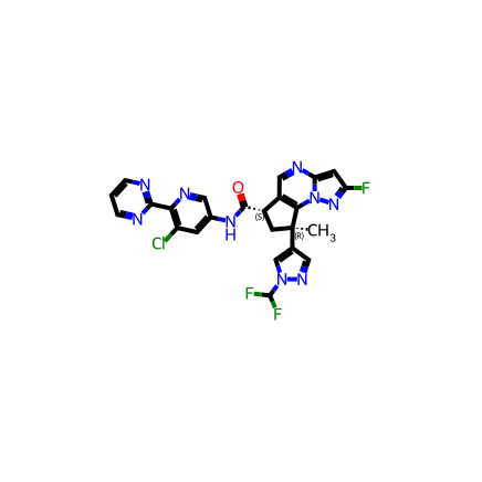 C[C@]1(c2cnn(C(F)F)c2)C[C@H](C(=O)Nc2cnc(-c3ncccn3)c(Cl)c2)c2cnc3cc(F)nn3c21